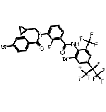 O=C(Nc1c(Br)cc(C(F)(C(F)(F)F)C(F)(F)F)cc1C(F)(F)F)c1cccc(N(CC2CC2)C(=O)c2ccc(Br)cc2)c1F